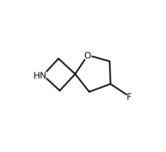 FC1COC2(CNC2)C1